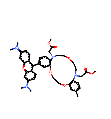 COC(=O)CN1CCOCCN(CC(=O)OC)c2ccc(-c3c4ccc(=[N+](C)C)cc-4oc4cc(N(C)C)ccc34)cc2OCCOc2cc(C)ccc21